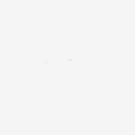 Cc1ncc(-c2ccccc2)cc1-c1cc(-c2c3ccccc3c(-c3cccc4ccccc34)c3ccccc23)c2ccccc2c1C